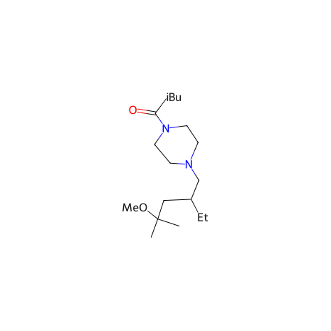 CCC(CN1CCN(C(=O)C(C)CC)CC1)CC(C)(C)OC